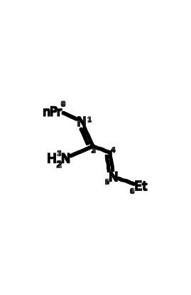 CCC/N=C(N)/C=N/CC